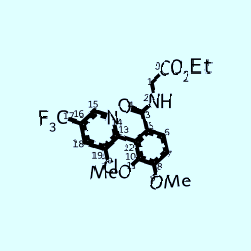 CCOC(=O)CNC(=O)c1ccc(OC)c(OC)c1-c1ncc(C(F)(F)F)cc1Cl